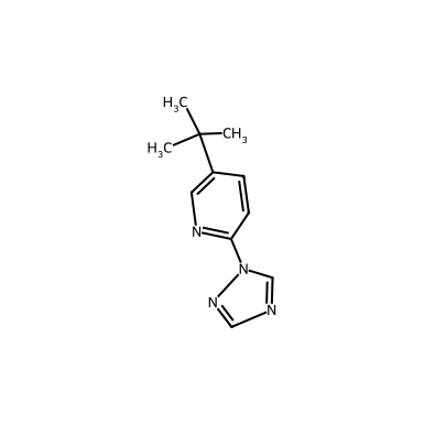 CC(C)(C)c1ccc(-n2cncn2)nc1